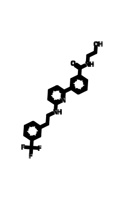 O=C(NCCO)c1cccc(-c2cccc(NCCc3cccc(C(F)(F)F)c3)n2)c1